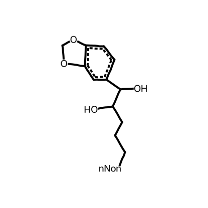 CCCCCCCCCCCCC(O)C(O)c1ccc2c(c1)OCO2